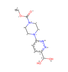 CC(C)(C)OC(=O)N1CCN(c2ccc(C(O)O)nn2)CC1